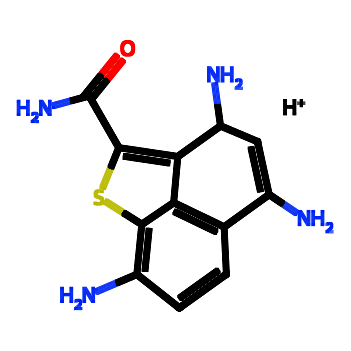 NC(=O)c1sc2c(N)ccc3c2c1C(N)C=C3N.[H+]